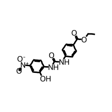 CCOC(=O)c1ccc(NC(=O)Nc2ccc([N+](=O)[O-])cc2O)cc1